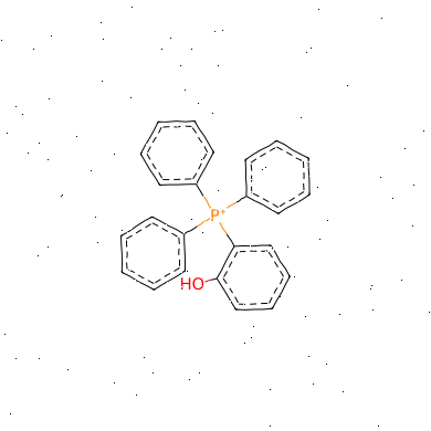 Oc1ccccc1[P+](c1ccccc1)(c1ccccc1)c1ccccc1